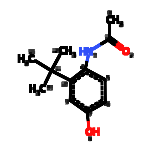 CC(=O)Nc1c[c]c(O)cc1C(C)(C)C